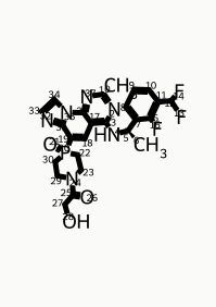 Cc1nc(N[C@H](C)c2cccc(C(F)F)c2F)c2cc(P3(=O)CCN(C(=O)CO)CC3)c3nccn3c2n1